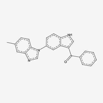 Cc1ccc2c(c1)ncn2-c1ccc2[nH]cc(C(=O)c3ccccc3)c2c1